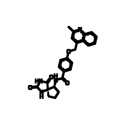 Cc1cc(COc2ccc(C(=O)N[C@H]3CCC[C@@]34NC(=O)NC4=O)cc2)c2ccccc2n1